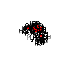 NC(CCN(C(P(=O)(O)O)P(=O)(O)O)C(P(=O)(O)O)P(=O)(O)O)(CCN(C(P(=O)(O)O)P(=O)(O)O)C(P(=O)(O)O)P(=O)(O)O)CCC(N)(CCN(C(P(=O)(O)O)P(=O)(O)O)C(P(=O)(O)O)P(=O)(O)O)CCN(C(P(=O)(O)O)P(=O)(O)O)C(P(=O)(O)O)P(=O)(O)O